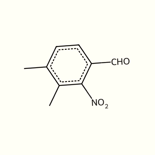 Cc1ccc(C=O)c([N+](=O)[O-])c1C